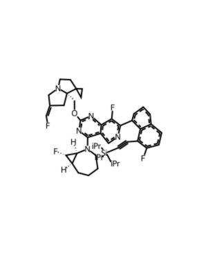 CC(C)[Si](C#Cc1c(F)ccc2cccc(-c3ncc4c(N5CCCC[C@H]6[C@H](F)[C@H]65)nc(OC[C@]56C/C(=C\F)CN5CCC65CC5)nc4c3F)c12)(C(C)C)C(C)C